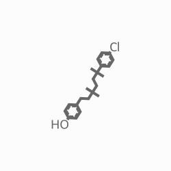 CC(C)(CCc1ccc(O)cc1)CCC(C)(C)c1ccc(Cl)cc1